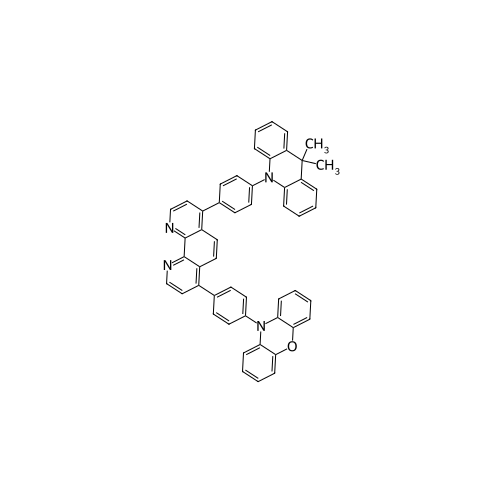 CC1(C)c2ccccc2N(c2ccc(-c3ccnc4c3ccc3c(-c5ccc(N6c7ccccc7Oc7ccccc76)cc5)ccnc34)cc2)c2ccccc21